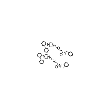 O=C(CCOCCN1CCN(c2ccccc2-c2ccccc2)CC1)N1CCc2ccccc2C1.O=C(CCOCCN1CCN(c2ccccc2-c2ccccc2)CC1)N1Cc2ccccc2C1